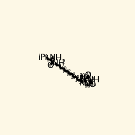 CC(C)CC(N)C(=O)NCCCCCCCCCCCc1nc2c(c(=O)[nH]c(=O)n2C)n1C